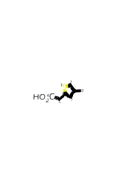 Cc1csc(CC(=O)O)c1